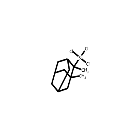 CC12CC3CC(CC(C3)C1(C)[Si](Cl)(Cl)Cl)C2